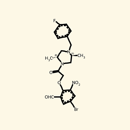 C[C@@H]1CN(Cc2ccc(F)cc2)[C@@H](C)CN1C(=O)COc1c(C=O)cc(Br)cc1[N+](=O)[O-]